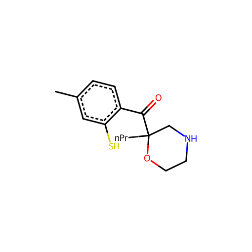 CCCC1(C(=O)c2ccc(C)cc2S)CNCCO1